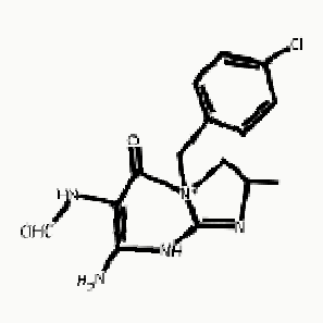 CC1C[N+]2(Cc3ccc(Cl)cc3)C(=O)C(NC=O)=C(N)NC2=N1